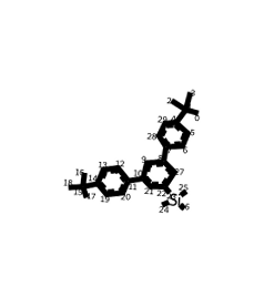 CC(C)(C)c1ccc(-c2cc(-c3ccc(C(C)(C)C)cc3)cc([Si](C)(C)C)c2)cc1